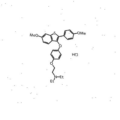 CCN(CC)CCOc1ccc(Oc2c(-c3ccc(OC)cc3)sc3cc(OC)ccc23)cc1.Cl